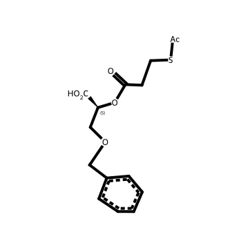 CC(=O)SCCC(=O)O[C@@H](COCc1ccccc1)C(=O)O